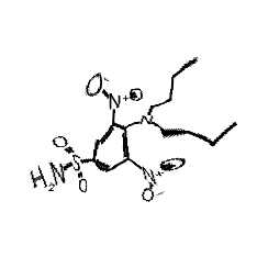 CCCCN(CCCC)c1c([N+](=O)[O-])cc(S(N)(=O)=O)cc1[N+](=O)[O-]